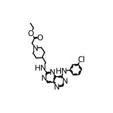 CCOC(=O)CN1CCC(CNc2ncc3ncnc(Nc4cccc(Cl)c4)c3n2)CC1